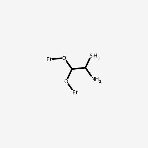 CCOC(OCC)C(N)[SiH3]